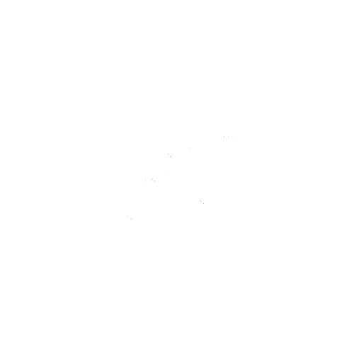 CSc1c(C(F)(F)F)cc2c(c1C(=O)N(C(=O)NCCN(C)C)c1ccccc1)CCN2